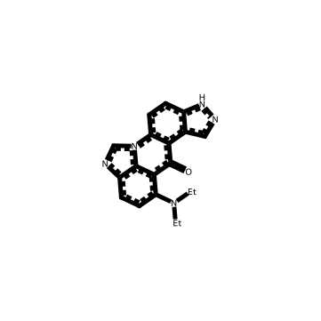 CCN(CC)c1ccc2ncn3c4ccc5[nH]ncc5c4c(=O)c1c23